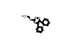 CCSc1nnc(-c2ccccc2)c(-c2ccccc2)n1